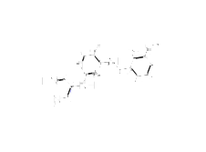 CN/C=C(\C=N)Nc1ncc(C)c(NCc2c(F)ccc(OC)c2F)n1